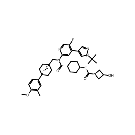 COc1ccc(C23CCC(CN(c4cc(-c5cnn(C(C)(C)C)c5)c(F)cn4)C(=O)[C@H]4CC[C@H](OC(=O)N5CC(O)C5)CC4)(CC2)CC3)cc1C